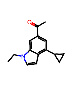 CCn1ccc2c(C3CC3)cc(C(C)=O)cc21